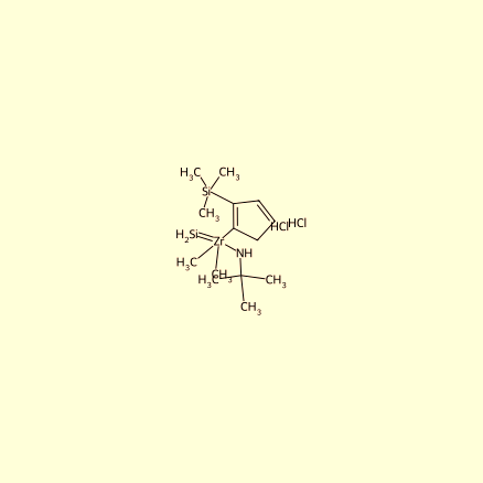 CC(C)(C)[NH][Zr]([CH3])([CH3])(=[SiH2])[C]1=C([Si](C)(C)C)C=CC1.Cl.Cl